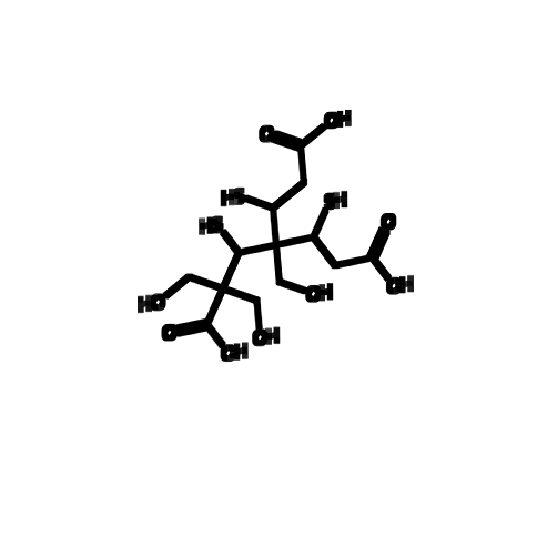 O=C(O)CC(S)C(CO)(C(S)CC(=O)O)C(S)C(CO)(CO)C(=O)O